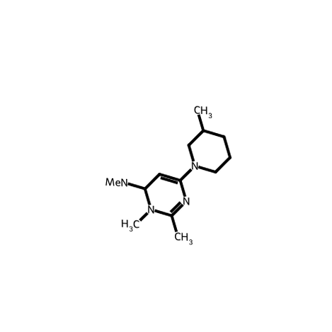 CNC1C=C(N2CCCC(C)C2)N=C(C)N1C